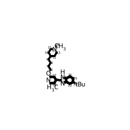 Cc1cnc(OCCCCC2CCN(C)CC2)cc1-c1nc2cc(C(C)(C)C)ccc2[nH]1